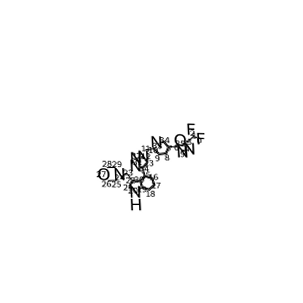 FC(F)c1nnc(-c2ccc(Cn3cc(-c4cccc5[nH]cc(CN6CCOCC6)c45)nn3)nc2)o1